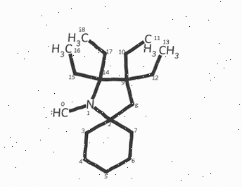 [CH]N1C2(CCCCC2)CC(CC)(CC)C1(CC)CC